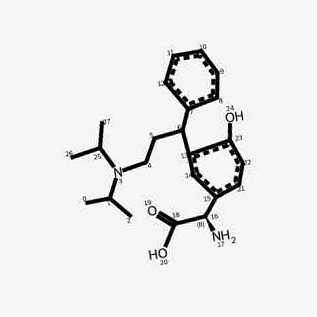 CC(C)N(CCC(c1ccccc1)c1cc([C@@H](N)C(=O)O)ccc1O)C(C)C